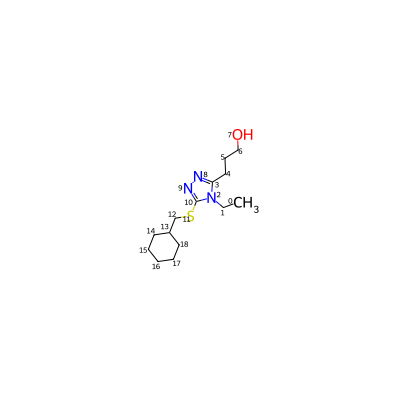 CCn1c(CCCO)nnc1SCC1CCCCC1